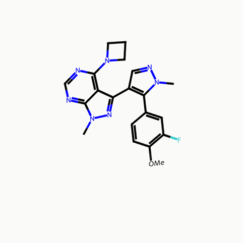 COc1ccc(-c2c(-c3nn(C)c4ncnc(N5CCC5)c34)cnn2C)cc1F